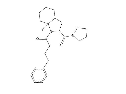 O=C(C1CC2CCCC[C@@H]2N1C(=O)CCCc1ccccc1)N1CCCC1